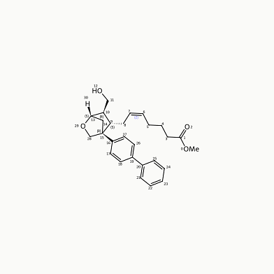 COC(=O)CCC/C=C\C[C@H]1[C@H](CO)[C@@H]2C[C@@]1(c1ccc(-c3ccccc3)cc1)CO2